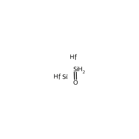 O=[SiH2].[Hf].[Hf].[Si]